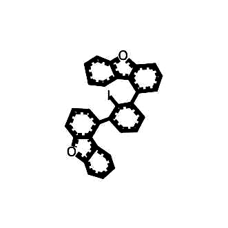 Ic1c(-c2cccc3oc4ccccc4c23)cccc1-c1cccc2oc3ccccc3c12